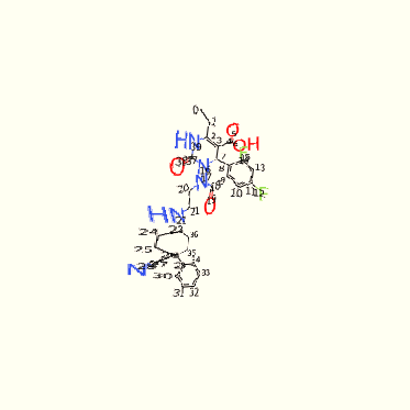 CCC1=C(C(=O)O)C(c2ccc(F)cc2F)N(N(C=O)CCN[C@H]2CC[C@@](C#N)(c3ccccc3)CC2)C(=O)N1